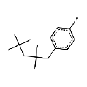 CC(C)(C)CC(C)(C)Cc1ccc(F)cc1